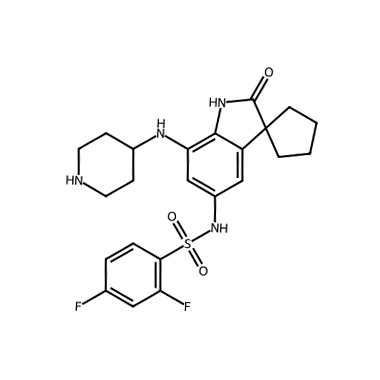 O=C1Nc2c(NC3CCNCC3)cc(NS(=O)(=O)c3ccc(F)cc3F)cc2C12CCCC2